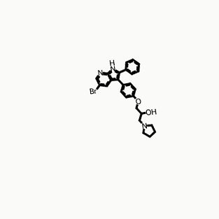 OC(COc1ccc(-c2c(-c3ccccc3)[nH]c3ncc(Br)cc23)cc1)CN1CCCC1